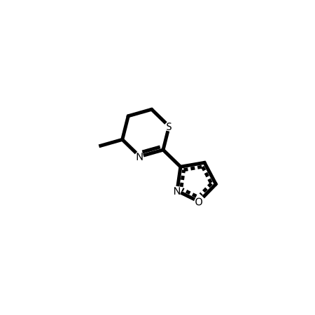 CC1CCSC(c2ccon2)=N1